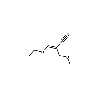 CCOC=C(C#N)COC